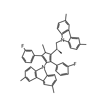 Cc1ccc2c(c1)c1cc(C)ccc1n2C[C@@H](C)C1=C(c2cccc(F)c2)C(n2c3ccc(C)cc3c3cc(C)ccc32)=C(c2cccc(F)c2)C1C